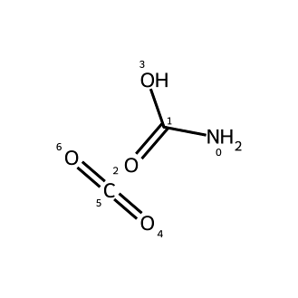 NC(=O)O.O=C=O